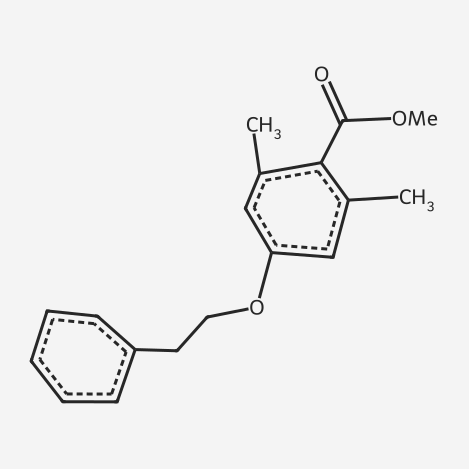 COC(=O)c1c(C)cc(OCCc2ccccc2)cc1C